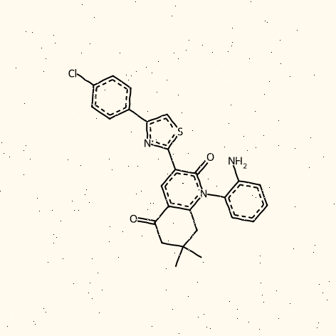 CC1(C)CC(=O)c2cc(-c3nc(-c4ccc(Cl)cc4)cs3)c(=O)n(-c3ccccc3N)c2C1